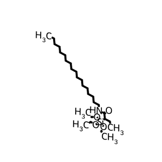 CCCCCCCCCCCCCCCCCCNC(=O)C(CC)[Si](OCC)(OCC)OCC